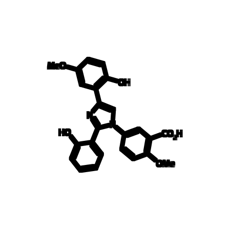 COc1ccc(O)c(-c2cn(-c3ccc(OC)c(C(=O)O)c3)c(-c3ccccc3O)n2)c1